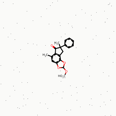 Cc1cc2c(c3c1C(=O)C(C)(c1ccccc1)C3)OC(OC(=O)O)O2